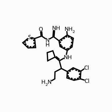 N=C(NC(=O)c1cccs1)c1cc(NC(=C2CCC2)C(CCN)c2ccc(Cl)c(Cl)c2)ccc1N